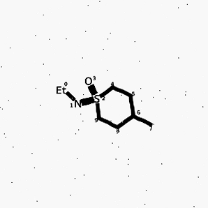 CCN=S1(=O)CCC(C)CC1